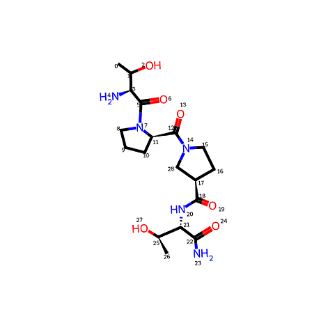 CC(O)[C@H](N)C(=O)N1CCC[C@@H]1C(=O)N1CC[C@@H](C(=O)N[C@H](C(N)=O)[C@@H](C)O)C1